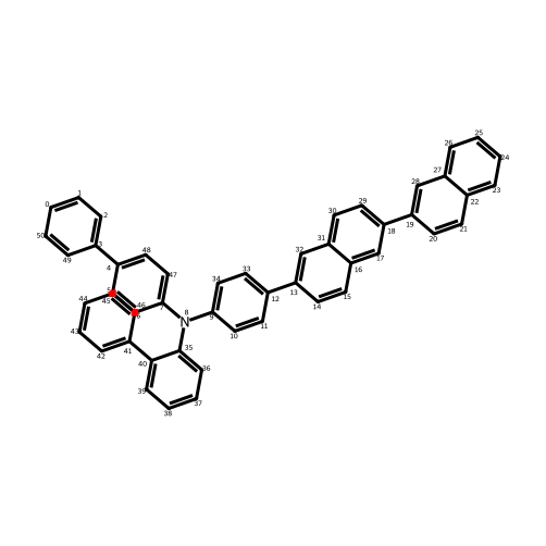 c1ccc(-c2ccc(N(c3ccc(-c4ccc5cc(-c6ccc7ccccc7c6)ccc5c4)cc3)c3ccccc3-c3ccccc3)cc2)cc1